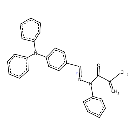 C=C(C)C(=O)N(/N=C/c1ccc(N(c2ccccc2)c2ccccc2)cc1)c1ccccc1